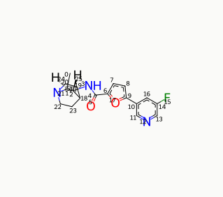 C[C@H]1[C@H](NC(=O)c2ccc(-c3cncc(F)c3)o2)C2CCN1CC2